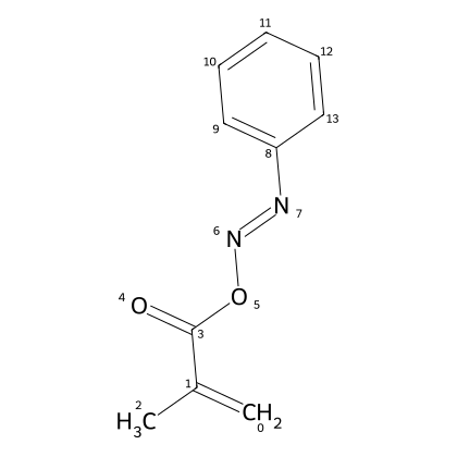 C=C(C)C(=O)ON=Nc1ccccc1